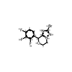 Fc1ccc(C2OCCn3nc(Br)nc32)c(F)c1F